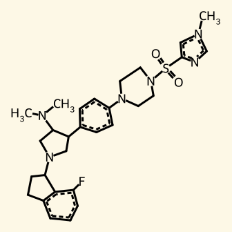 CN(C)C1CN(C2CCc3cccc(F)c32)CC1c1ccc(N2CCN(S(=O)(=O)c3cn(C)cn3)CC2)cc1